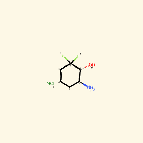 Cl.N[C@H]1CCCC(F)(F)[C@@H]1O